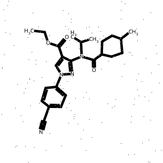 CCOC(=O)c1cn(-c2ccc(C#N)cc2)nc1N(C(=O)C1CCC(C)CC1)C(C)C